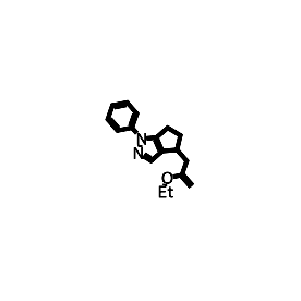 C=C(CC1CCc2c1cnn2-c1ccccc1)OCC